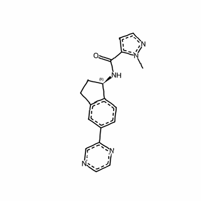 Cn1nccc1C(=O)N[C@@H]1CCc2cc(-c3cnccn3)ccc21